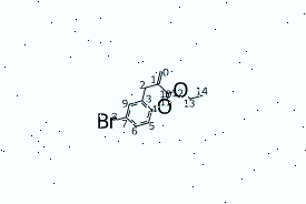 C=C(Cc1cccc(Br)c1)C(=O)OCC